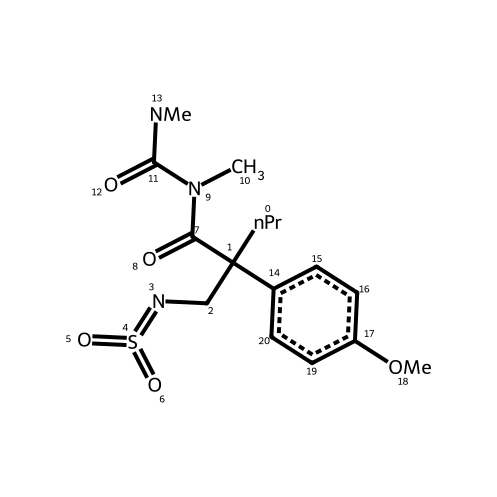 CCCC(CN=S(=O)=O)(C(=O)N(C)C(=O)NC)c1ccc(OC)cc1